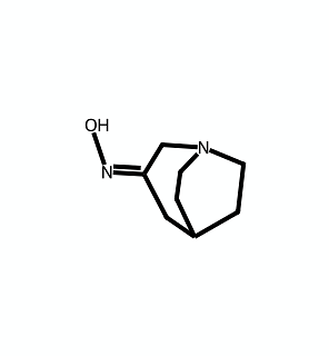 ON=C1CC2CCN(CC2)C1